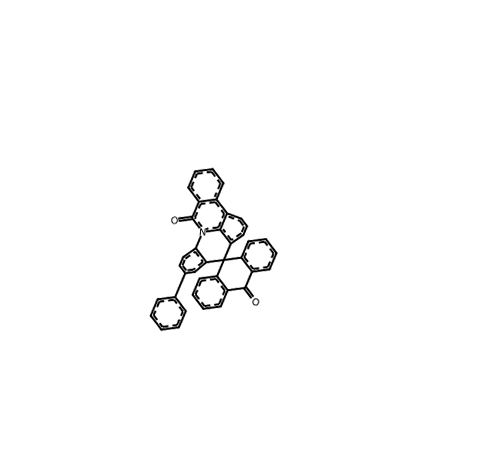 O=C1c2ccccc2C2(c3ccccc31)c1cc(-c3ccccc3)ccc1-n1c(=O)c3ccccc3c3cccc2c31